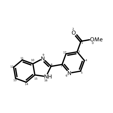 COC(=O)c1ccnc(-c2nc3ccccc3[nH]2)c1